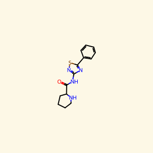 O=C(Nc1nsc(-c2ccccc2)n1)C1CCCCN1